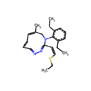 CCS\C=C/C1=N/N=C/C=C/C=C(/C)CN1c1c(CC)cccc1CC